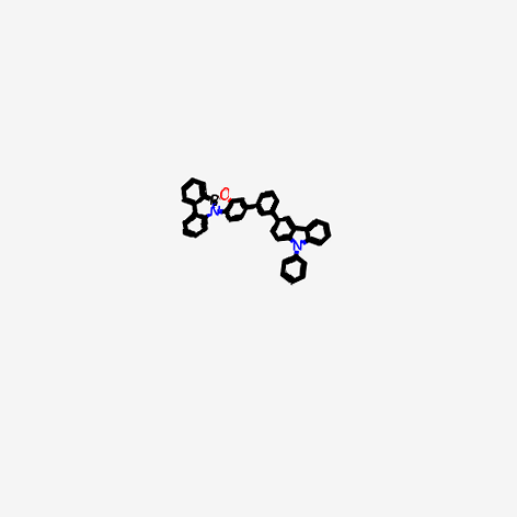 c1ccc(-n2c3ccccc3c3cc(-c4cccc(-c5ccc6c(c5)OB5c7ccccc7-c7ccccc7N56)c4)ccc32)cc1